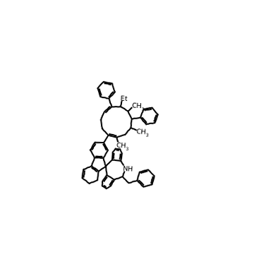 CCC1/C(c2ccccc2)=C\CC/C(c2ccc3c(c2)C2(C4=C3C=CCC4)c3ccccc3NC(Cc3ccccc3)c3ccccc32)=C(/C)CC(C)C(c2ccccc2)C1C